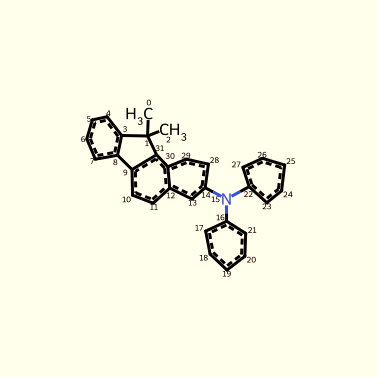 CC1(C)c2ccccc2-c2ccc3cc(N(c4ccccc4)c4ccccc4)ccc3c21